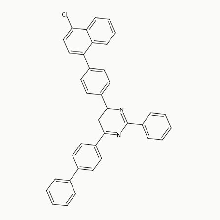 Clc1ccc(-c2ccc(C3CC(c4ccc(-c5ccccc5)cc4)=NC(c4ccccc4)=N3)cc2)c2ccccc12